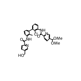 COC(OC)c1ccc(C(=O)Nc2cccc(-c3cccc(NC(=O)c4ccc(CO)cn4)c3C)c2Cl)nc1